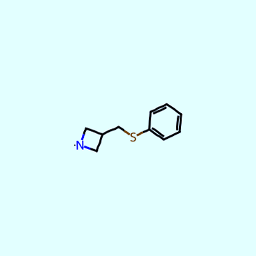 c1ccc(SCC2C[N]C2)cc1